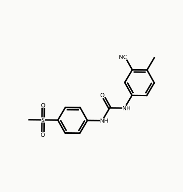 Cc1ccc(NC(=O)Nc2ccc(S(C)(=O)=O)cc2)cc1C#N